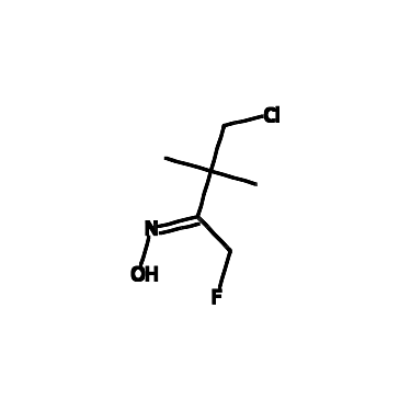 CC(C)(CCl)C(CF)=NO